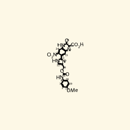 COc1ccc(NC(=O)OCc2c[nH]c(-c3cc4nc(C(=O)O)c(=O)[nH]c4cc3[N+](=O)[O-])n2)cc1